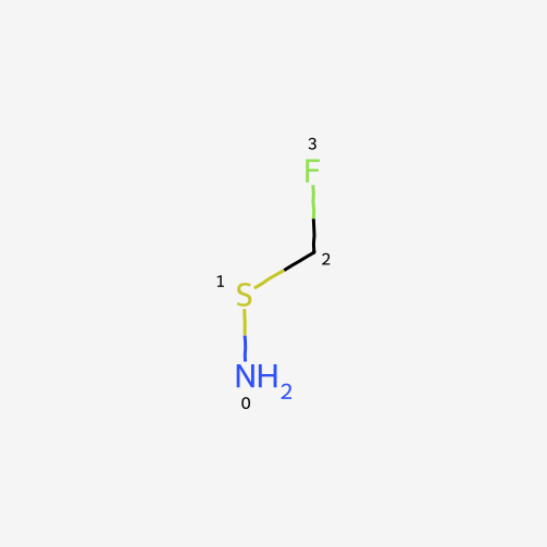 NSCF